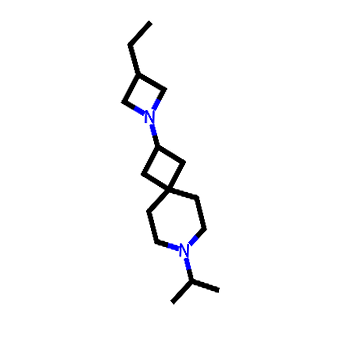 CCC1CN(C2CC3(CCN(C(C)C)CC3)C2)C1